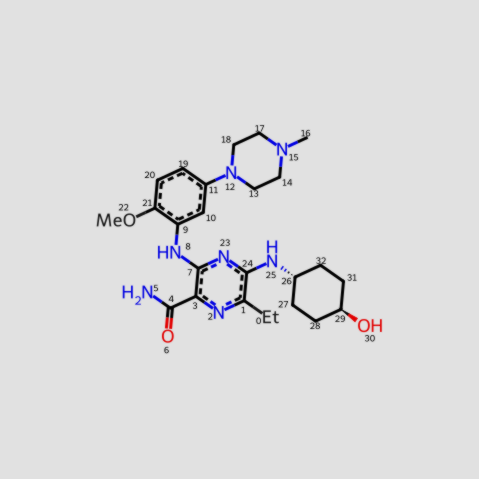 CCc1nc(C(N)=O)c(Nc2cc(N3CCN(C)CC3)ccc2OC)nc1N[C@H]1CC[C@H](O)CC1